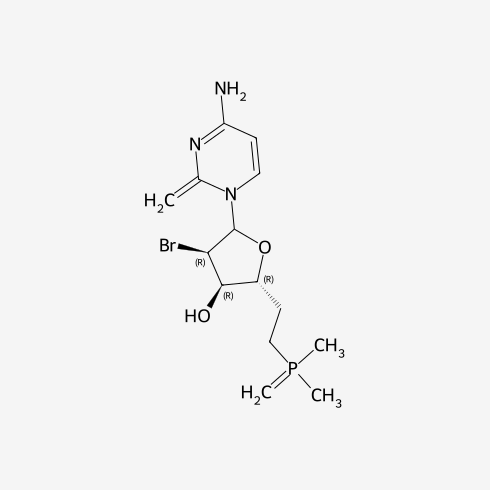 C=C1N=C(N)C=CN1C1O[C@H](CCP(=C)(C)C)[C@@H](O)[C@H]1Br